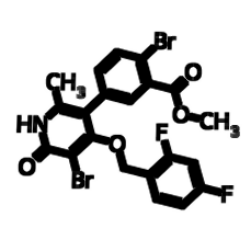 COC(=O)c1cc(-c2c(C)[nH]c(=O)c(Br)c2OCc2ccc(F)cc2F)ccc1Br